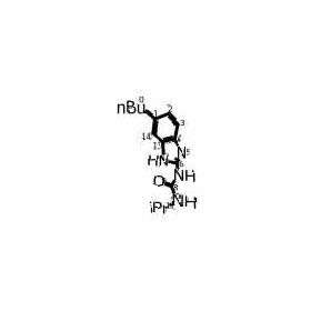 CCCCc1ccc2nc(NC(=O)NC(C)C)[nH]c2c1